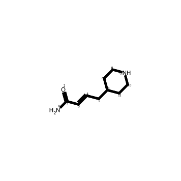 NC(=O)C=CCC1CCNCC1